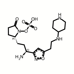 N[C@@H](CC[C@@H]1CCC(=O)N1OS(=O)(=O)O)c1cc(CCNC2CCNCC2)on1